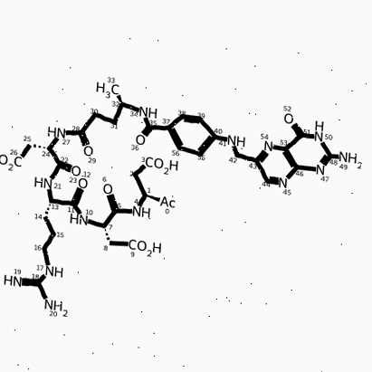 CC(=O)[C@H](CC(=O)O)NC(=O)[C@H](CC(=O)O)NC(=O)[C@H](CCCNC(=N)N)NC(=O)[C@H](CC(=O)O)NC(=O)CC[C@@H](C)NC(=O)c1ccc(NCc2cnc3nc(N)[nH]c(=O)c3n2)cc1